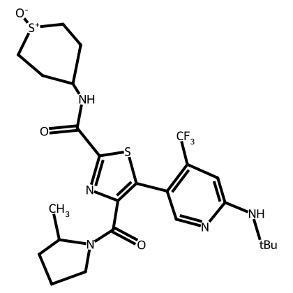 CC1CCCN1C(=O)c1nc(C(=O)NC2CC[S+]([O-])CC2)sc1-c1cnc(NC(C)(C)C)cc1C(F)(F)F